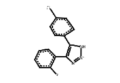 Fc1ccccc1C1=C(c2ccc(Cl)cc2)N[N+]=N1